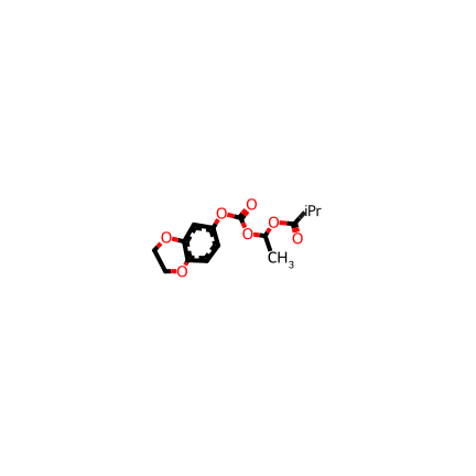 CC(OC(=O)Oc1ccc2c(c1)OCCO2)OC(=O)C(C)C